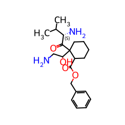 CC(C)[C@H](N)C(=O)C1(C(O)CN)CCCCC1C(=O)OCc1ccccc1